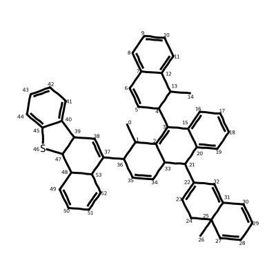 CC1C2=C(C3C=Cc4ccccc4C3C)c3ccccc3C(C3=CCC4(C)C=CC=CC4=C3)C2C=CC1C1=CC2c3ccccc3SC2C2C=CC=CC12